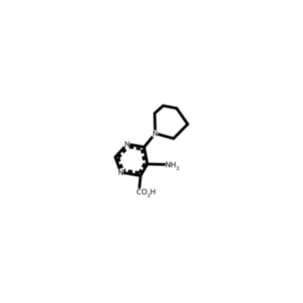 Nc1c(C(=O)O)ncnc1N1CCCCC1